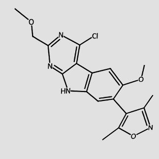 COCc1nc(Cl)c2c(n1)[nH]c1cc(-c3c(C)noc3C)c(OC)cc12